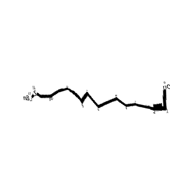 CCCCCCCC/C=C\CCCCCCCCSCCCC